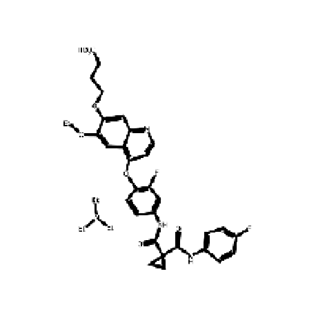 CCN(CC)CC.CCOc1cc2c(Oc3ccc(NC(=O)C4(C(=O)Nc5ccc(F)cc5)CC4)cc3F)ccnc2cc1OCCCC(=O)O